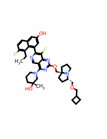 CCc1c(F)ccc2cc(O)cc(-c3ncc4c(N5CCC[C@@](C)(O)C5)nc(OC[C@@]56CCCN5[C@H](COCC5CCC5)CC6)nc4c3F)c12